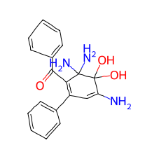 NC1=CC(c2ccccc2)=C(C(=O)c2ccccc2)C(N)(N)C1(O)O